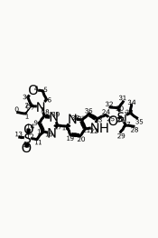 CC[C@H]1COCCN1c1cc(CS(C)(=O)=O)nc(-c2ccc3[nH]c(CO[Si](C(C)C)(C(C)C)C(C)C)cc3n2)n1